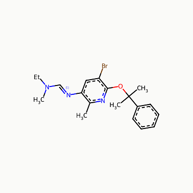 CCN(C)/C=N/c1cc(Br)c(OC(C)(C)c2ccccc2)nc1C